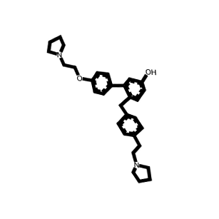 Oc1ccc(Cc2ccc(CCN3CCCC3)cc2)c(-c2ccc(OCCN3CCCC3)cc2)c1